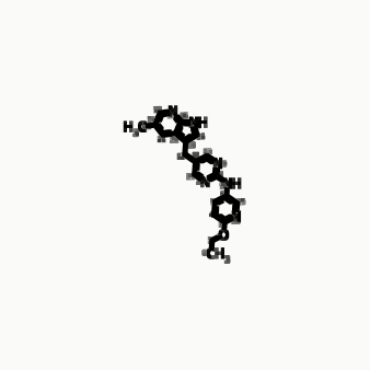 CCOc1ccc(Nc2ncc(Cc3c[nH]c4ncc(C)cc34)cn2)cn1